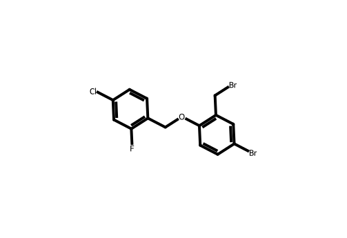 Fc1cc(Cl)ccc1COc1ccc(Br)cc1CBr